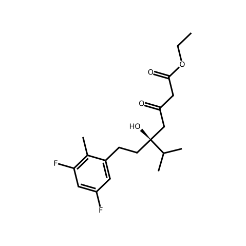 CCOC(=O)CC(=O)C[C@@](O)(CCc1cc(F)cc(F)c1C)C(C)C